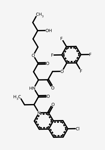 CCC(O)CCOC(=O)CC(NC(=O)C(CC)n1ccc2ccc(Cl)cc2c1=O)C(=O)COc1c(F)c(F)cc(F)c1F